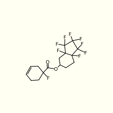 O=C(OC1CCC2(F)C(F)(F)C(F)(F)C(F)(F)C2(F)C1)C1(F)CC=CCC1